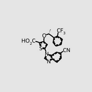 C[C@@H](Oc1cc(-n2cnc3ccc(C#N)cc32)sc1C(=O)O)c1ccccc1C(F)(F)F